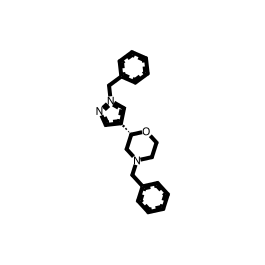 c1ccc(CN2CCO[C@@H](c3cnn(Cc4ccccc4)c3)C2)cc1